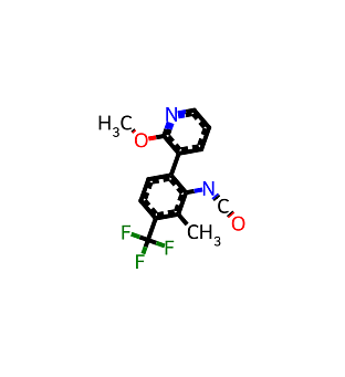 COc1ncccc1-c1ccc(C(F)(F)F)c(C)c1N=C=O